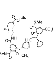 CNC(=O)c1cc(C(=O)NCCC2CN(C(=O)OC(C)(C)C)CCC2(F)F)cc2c1O[C@@H](C)[C@@H]2c1ccccc1.CNC(=O)c1cc(C(=O)O)cc2c1O[C@@H](C)[C@@H]2c1ccccc1